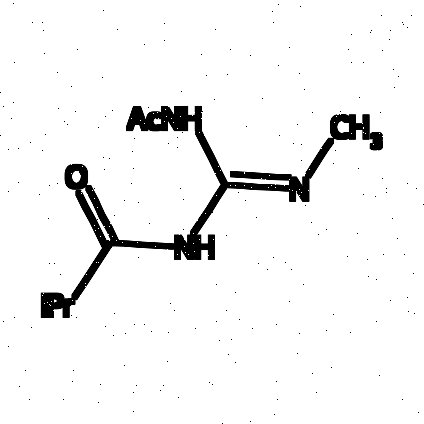 C/N=C(\NC(C)=O)NC(=O)C(C)C